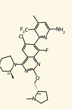 Cc1cc(N)nc(-c2c(Cl)cc3c(N4CCNC[C@@H]4C)nc(OC[C@@H]4CCCN4C)nc3c2F)c1C(F)(F)F